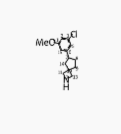 COc1cc(Cl)cc(C2CCC3(CNC3)C2)c1